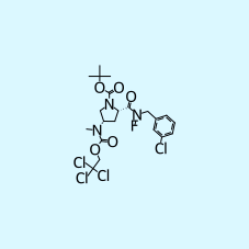 CN(C(=O)OCC(Cl)(Cl)Cl)[C@H]1C[C@@H](C(=O)N(F)Cc2cccc(Cl)c2)N(C(=O)OC(C)(C)C)C1